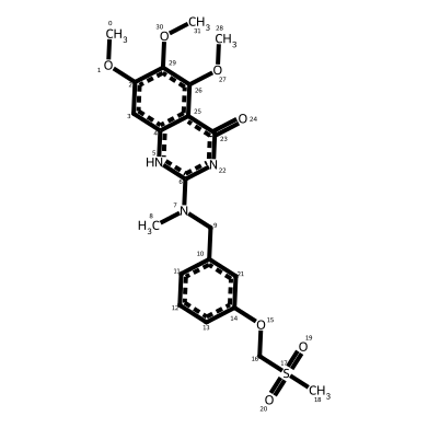 COc1cc2[nH]c(N(C)Cc3cccc(OCS(C)(=O)=O)c3)nc(=O)c2c(OC)c1OC